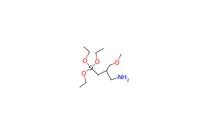 CCO[Si](CC(CN)COC)(OCC)OCC